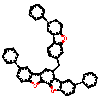 c1ccc(-c2ccc3oc4cc(Cc5cc6c7cc(-c8ccccc8)ccc7oc6c6oc7ccc(-c8ccccc8)cc7c56)ccc4c3c2)cc1